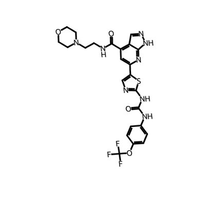 O=C(Nc1ccc(OC(F)(F)F)cc1)Nc1ncc(-c2cc(C(=O)NCCN3CCOCC3)c3cn[nH]c3n2)s1